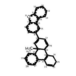 CC12C=C(c3ccc4oc5ccccc5c4c3)C=CC1C1=C(C=CCC1)c1ccccc12